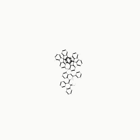 N=C(/C(=C1\NC(c2ccccc2)=Cc2c1cccc2N(c1ccc2c(c1)C1(c3ccccc3-c3ccccc31)c1ccccc1-2)c1cccc2c1-c1ccccc1C2(c1ccccc1)c1ccccc1)c1ccccc1)c1ccccc1